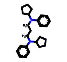 c1ccc(N([SiH2]C[SiH2]N(c2ccccc2)C2CCCC2)C2CCCC2)cc1